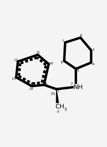 C[C@H](N[C]1CCCCC1)c1ccccc1